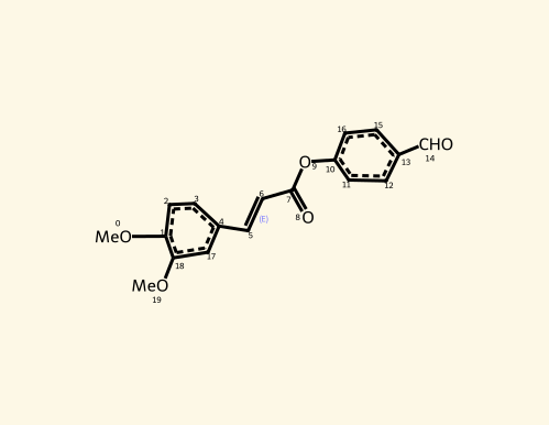 COc1ccc(/C=C/C(=O)Oc2ccc(C=O)cc2)cc1OC